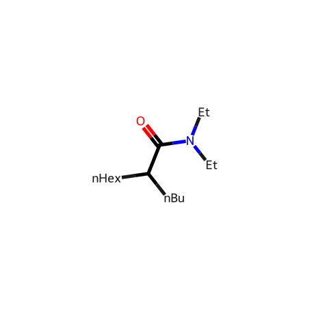 CCCCCCC(CCCC)C(=O)N(CC)CC